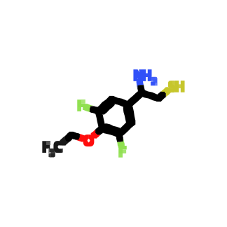 NC(CS)c1cc(F)c(OCC(F)(F)F)c(F)c1